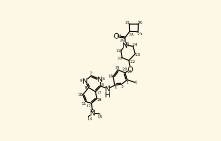 Cc1cc(Nc2ncnc3ccc(N(C)C)cc23)ccc1OC1CCN(C(=O)C2CCC2)CC1